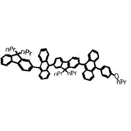 CCCOc1ccc(-c2c3ccccc3c(-c3ccc4c(c3)C(CCC)(CCC)c3cc(-c5c6ccccc6c(-c6ccc7c(c6)C(CCC)(CCC)c6ccccc6-7)c6ccccc56)ccc3-4)c3ccccc23)cc1